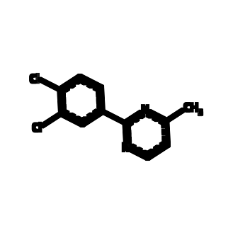 Cc1ccnc(-c2ccc(Cl)c(Cl)c2)n1